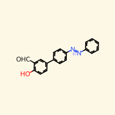 O=Cc1cc(-c2ccc(/N=N/c3ccccc3)cc2)ccc1O